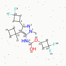 Cn1nc(C2CC(F)(F)C2)c(C2(C)CCC2)c1NC(O)OC1CC(F)(F)C1